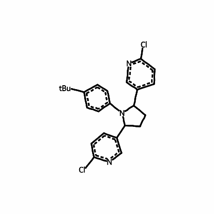 CC(C)(C)c1ccc(N2C(c3ccc(Cl)nc3)CCC2c2ccc(Cl)nc2)cc1